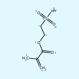 C=C(C)C(=O)OCCS(=O)(=O)CCC